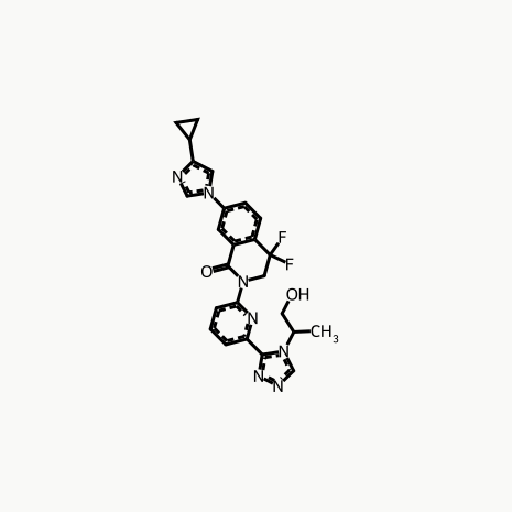 CC(CO)n1cnnc1-c1cccc(N2CC(F)(F)c3ccc(-n4cnc(C5CC5)c4)cc3C2=O)n1